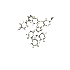 Fc1ccc(-c2nn(C(c3ccccc3)(c3ccccc3)C3C=CC=CC3)cc2-c2ccc3ncn(-c4ccc(F)cc4)c3c2)cc1